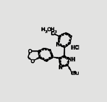 Cc1cccc(-c2[nH]c(C(C)(C)C)nc2-c2ccc3c(c2)OCO3)n1.Cl.O